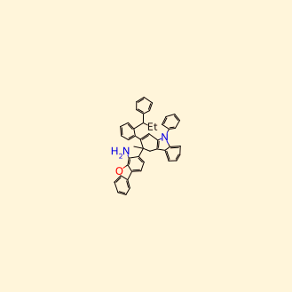 CCC(c1ccccc1)c1ccccc1C1=Cc2c(c3ccccc3n2-c2ccccc2)CC1(C)c1ccc2c(oc3ccccc32)c1N